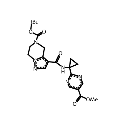 COC(=O)c1cnc(C2(NC(=O)c3cnn4c3CN(C(=O)OC(C)(C)C)CC4)CC2)nc1